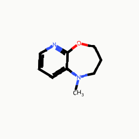 CN1CCCOc2nc[c]cc21